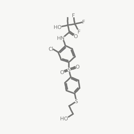 CC(O)(C(=O)Nc1ccc(S(=O)(=O)c2ccc(SCCO)cc2)cc1Cl)C(F)(F)F